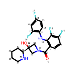 O=C(c1ccc(F)c(F)c1Nc1ccc(F)cc1F)N1CC(O)([C@@H]2CCCCN2)C1